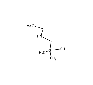 COCNCS(C)(C)C